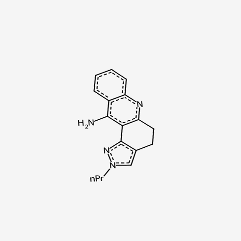 CCCn1cc2c(n1)-c1c(nc3ccccc3c1N)CC2